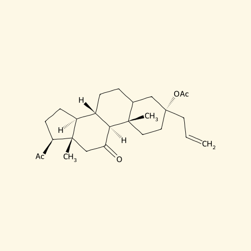 C=CC[C@@]1(OC(C)=O)CC[C@@]2(C)C(CC[C@H]3[C@@H]4CC[C@H](C(C)=O)[C@@]4(C)CC(=O)[C@@H]32)C1